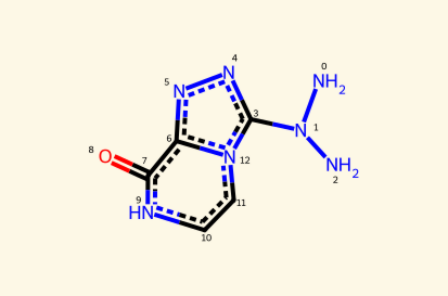 NN(N)c1nnc2c(=O)[nH]ccn12